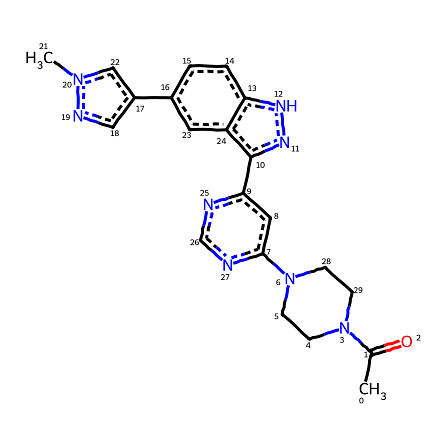 CC(=O)N1CCN(c2cc(-c3n[nH]c4ccc(-c5cnn(C)c5)cc34)ncn2)CC1